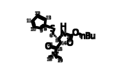 CCCCOC(=O)N[C@@H](CSc1ccccc1)CC(=O)N(C)C